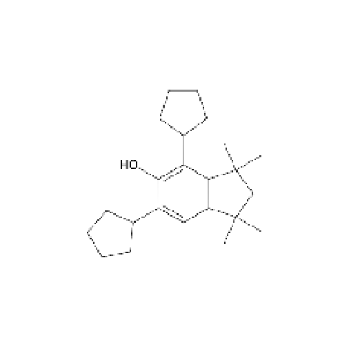 CC1(C)CC(C)(C)c2c1cc(C1CCCC1)c(O)c2C1CCCC1